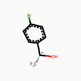 O[C@@H](c1ccc(Br)cc1)C(F)(F)F